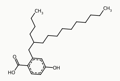 CCCCCCCCCCC(CCCC)Cc1cc(O)ccc1C(=O)O